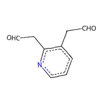 O=CCc1cccnc1CC=O